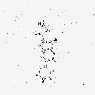 COC(=O)c1sc2cc(C3CCOCC3)ccc2c1Br